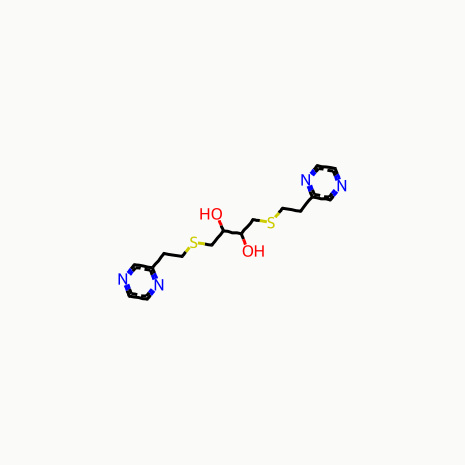 OC(CSCCc1cnccn1)C(O)CSCCc1cnccn1